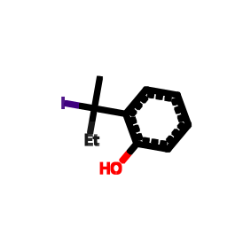 CCC(C)(I)c1ccccc1O